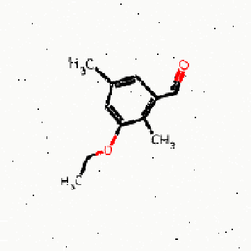 CCOc1cc(C)cc(C=O)c1C